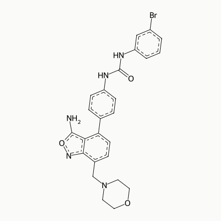 Nc1onc2c(CN3CCOCC3)ccc(-c3ccc(NC(=O)Nc4cccc(Br)c4)cc3)c12